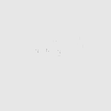 COc1nc(-c2ccccc2)cn1C(=O)NC1CCC(F)(F)CC1